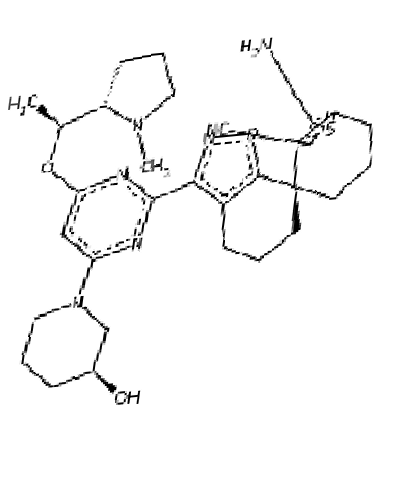 C[C@H](Oc1cc(N2CCC[C@H](O)C2)nc(-c2noc3c2CCC[C@@]32CCCc3sc(N)c(C#N)c32)n1)[C@@H]1CCCN1C